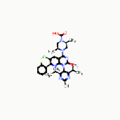 Cc1nc(C(C)C)c(-n2c(=O)nc(N3CC(C)N(C(=O)O)CC3C)c3cc(Cl)c(-c4ccccc4F)nc32)c(C(C)C)n1